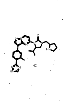 CC(C)C1CN(CC2CCCN2)C(=O)N1c1ccn2ncc(-c3ccc(-c4nc[nH]n4)c(F)c3)c2n1.Cl